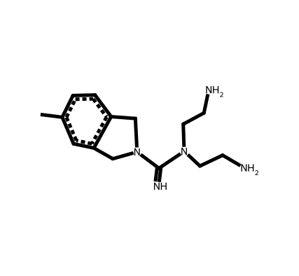 Cc1ccc2c(c1)CN(C(=N)N(CCN)CCN)C2